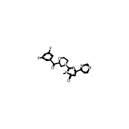 Cn1c(N2CCOC(C(=O)c3cc(F)cc(F)c3)C2)nc(-c2ccncn2)cc1=O